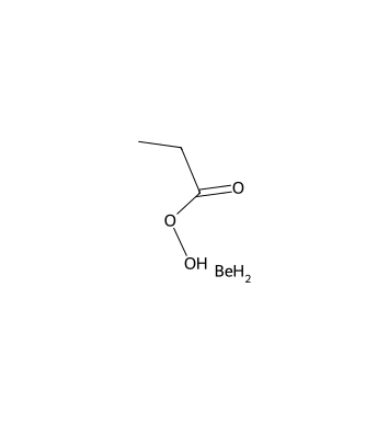 CCC(=O)OO.[BeH2]